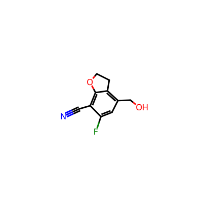 N#Cc1c(F)cc(CO)c2c1OCC2